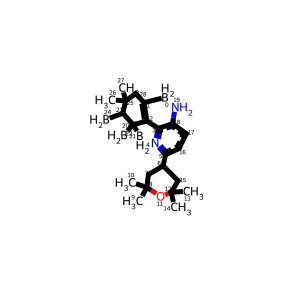 BC1=C(c2nc(C3CC(C)(C)OC(C)(C)C3)ccc2N)C(B)(B)C(B)C(C)(C)C1